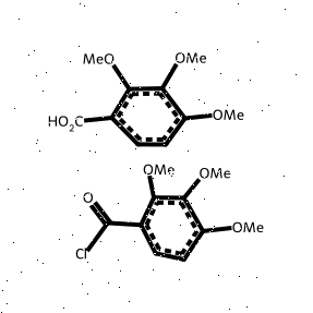 COc1ccc(C(=O)Cl)c(OC)c1OC.COc1ccc(C(=O)O)c(OC)c1OC